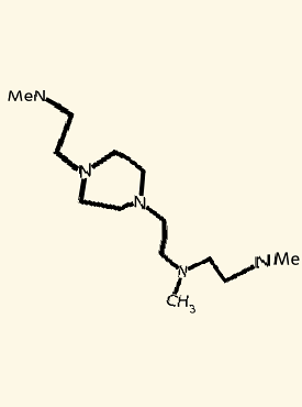 CNCCN(C)CCN1CCN(CCNC)CC1